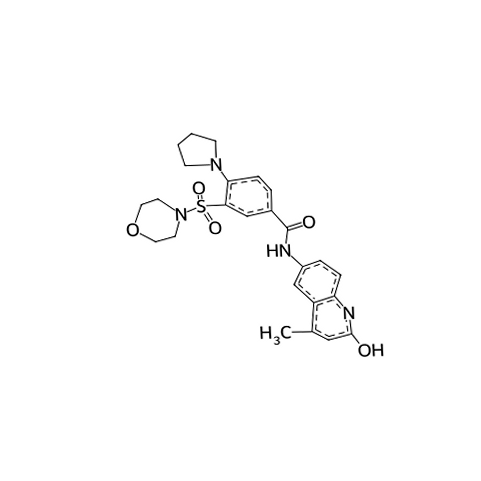 Cc1cc(O)nc2ccc(NC(=O)c3ccc(N4CCCC4)c(S(=O)(=O)N4CCOCC4)c3)cc12